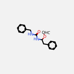 O=COC(Cc1ccccc1)NC(=O)NCc1ccccc1